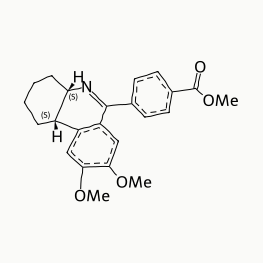 COC(=O)c1ccc(C2=N[C@H]3CCCC[C@H]3c3cc(OC)c(OC)cc32)cc1